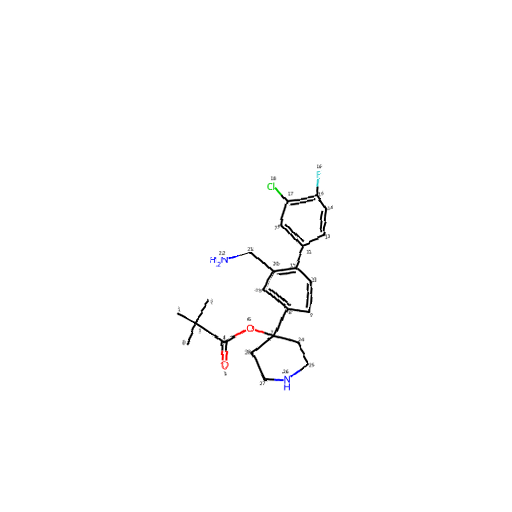 CC(C)(C)C(=O)OC1(c2ccc(-c3ccc(F)c(Cl)c3)c(CN)c2)CCNCC1